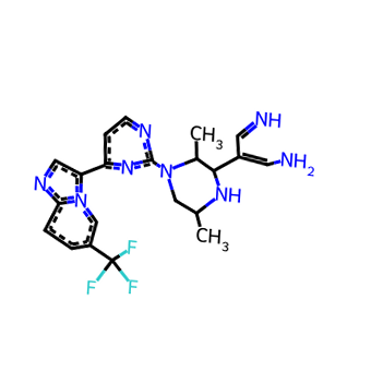 CC1CN(c2nccc(-c3cnc4ccc(C(F)(F)F)cn34)n2)C(C)C(/C(C=N)=C/N)N1